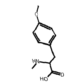 CNC(Cc1ccc(OC)cc1)C(=O)O